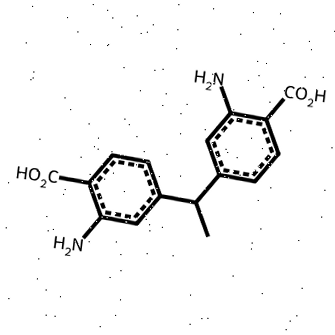 CC(c1ccc(C(=O)O)c(N)c1)c1ccc(C(=O)O)c(N)c1